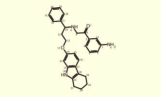 Nc1cccc(C(=O)CNC(CCOc2ccc3c4c([nH]c3c2)CCCC4)c2ccccc2)c1